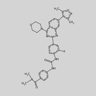 Cc1noc(C)c1-c1ccc2c(N3CCOCC3)nc(-c3ccc(NC(=O)Nc4ccc(C(=O)N(C)C)cc4)c(F)c3)nc2c1